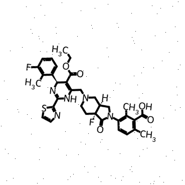 CCOC(=O)C1=C(CN2CC[C@]3(F)C(=O)N(c4ccc(C)c(C(=O)O)c4C)C[C@@H]3C2)NC(c2nccs2)=N[C@H]1c1cccc(F)c1C